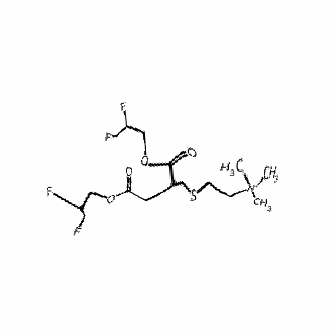 C[N+](C)(C)CCSC(CC(=O)OCC(F)F)C(=O)OCC(F)F